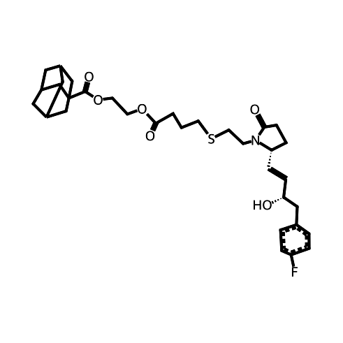 O=C(CCCSCCN1C(=O)CC[C@@H]1/C=C/[C@@H](O)Cc1ccc(F)cc1)OCCOC(=O)C12CC3CC(CC(C3)C1)C2